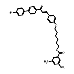 CCCc1ccc(-c2ccc(C(=O)C=Cc3ccc(OCCCCCCOC(=O)c4cc(N)cc(N)c4)cc3)cc2)cc1